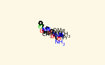 CCC(C)C(C(CC(=O)N1CCC[C@H]1C(OC)C(C)C(=O)NCCc1ccccc1Cl)OC)N(C)C(=O)C(CCN)NC(=O)C(C(C)C)N(C)C